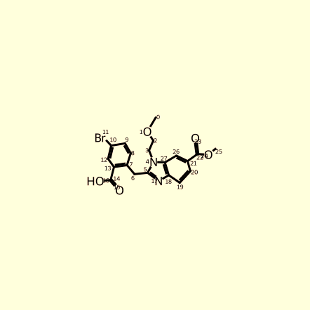 COCCn1c(Cc2ccc(Br)cc2C(=O)O)nc2ccc(C(=O)OC)cc21